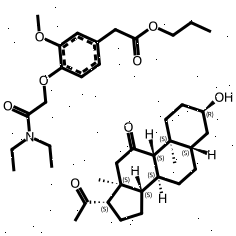 CC(=O)[C@H]1CC[C@H]2[C@@H]3CC[C@H]4C[C@H](O)CC[C@]4(C)[C@H]3C(=O)C[C@]12C.CCCOC(=O)Cc1ccc(OCC(=O)N(CC)CC)c(OC)c1